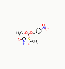 CC(=O)SC1NC(=O)C1C(C)OC(=O)OCc1ccc([N+](=O)[O-])cc1